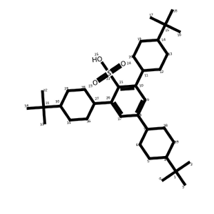 CC(C)(C)C1CCC(c2cc(C3CCC(C(C)(C)C)CC3)c(S(=O)(=O)O)c(C3CCC(C(C)(C)C)CC3)c2)CC1